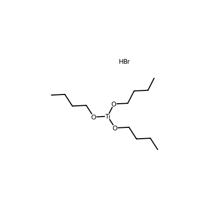 Br.CCCC[O][Ti]([O]CCCC)[O]CCCC